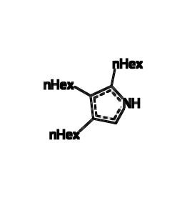 CCCCCCc1c[nH]c(CCCCCC)c1CCCCCC